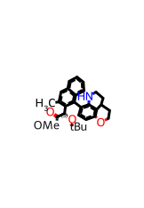 COC(=O)[C@@H](OC(C)(C)C)c1c(C)cc2ccccc2c1-c1ccc2c3c1NCCC3CCO2